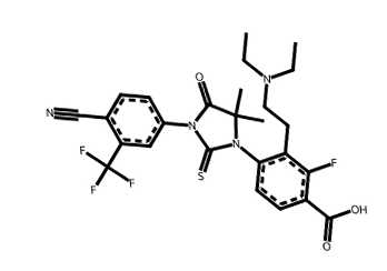 CCN(CC)CCc1c(N2C(=S)N(c3ccc(C#N)c(C(F)(F)F)c3)C(=O)C2(C)C)ccc(C(=O)O)c1F